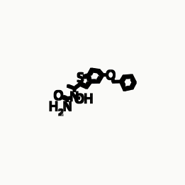 CC(c1cc2cc(OCc3ccccc3)ccc2s1)N(O)C(N)=O